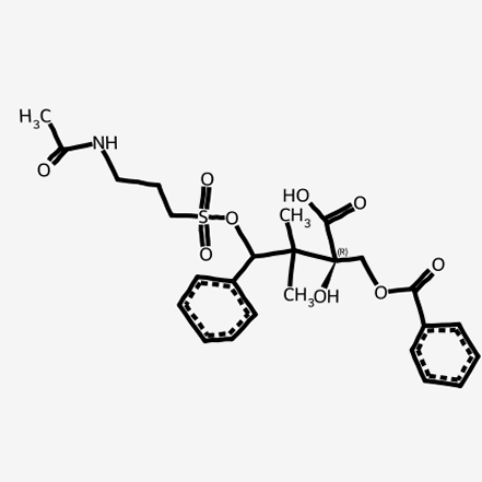 CC(=O)NCCCS(=O)(=O)OC(c1ccccc1)C(C)(C)[C@@](O)(COC(=O)c1ccccc1)C(=O)O